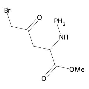 COC(=O)C(CC(=O)CBr)NP